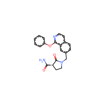 NC(=O)[C@@H]1CCN(Cc2ccc3ccnc(Oc4ccccc4)c3c2)C1=O